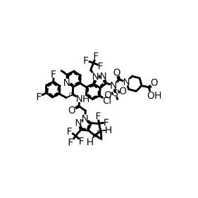 Cc1ccc(-c2ccc(Cl)c3c(N(C(=O)N4CCC(C(=O)O)CC4)S(C)(=O)=O)nn(CC(F)(F)F)c23)c([C@H](Cc2cc(F)cc(F)c2)NC(=O)Cn2nc(C(F)(F)F)c3c2C(F)(F)[C@@H]2C[C@H]32)n1